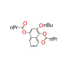 CCCCOc1cc(OC(=O)CCC)c2ccccc2c1OC(=O)CCC